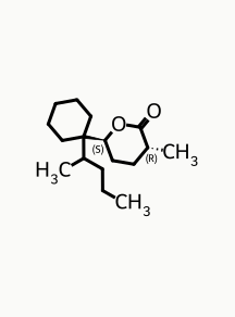 CCCC(C)C1([C@@H]2CC[C@@H](C)C(=O)O2)CCCCC1